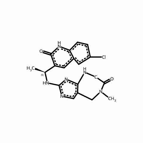 C[C@H](Nc1ncc2c(n1)NCC(=O)N(C)C2)c1cc2cc(Cl)ccc2[nH]c1=O